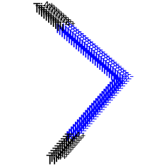 [N-3].[N-3].[N-3].[N-3].[N-3].[N-3].[N-3].[N-3].[N-3].[N-3].[N-3].[N-3].[N-3].[N-3].[N-3].[N-3].[N-3].[N-3].[N-3].[N-3].[N-3].[N-3].[N-3].[N-3].[N-3].[N-3].[N-3].[N-3].[N-3].[N-3].[N-3].[N-3].[N-3].[N-3].[N-3].[N-3].[N-3].[N-3].[N-3].[N-3].[N-3].[N-3].[N-3].[N-3].[N-3].[N-3].[N-3].[N-3].[N-3].[N-3].[Ti+4].[Ti+4].[Ti+4].[Ti+4].[Ti+4].[Ti+4].[Ti+4].[Ti+4].[Ti+4].[Ti+4].[Ti+4].[Ti+4].[Ti+4].[Ti+4].[Ti+4].[Ti+4].[Ti+4].[Ti+4].[Ti+4].[Ti+4]